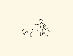 CC(C)(C)C1CC(C(=O)N2CCC2)CCN1C(=O)O